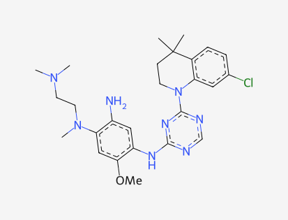 COc1cc(N(C)CCN(C)C)c(N)cc1Nc1ncnc(N2CCC(C)(C)c3ccc(Cl)cc32)n1